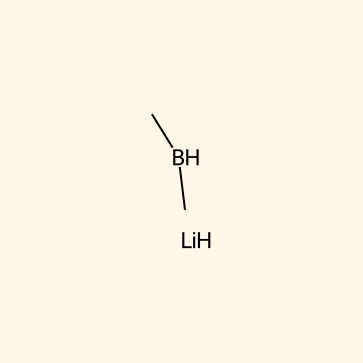 CBC.[LiH]